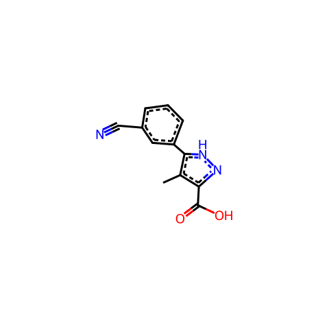 Cc1c(C(=O)O)n[nH]c1-c1cccc(C#N)c1